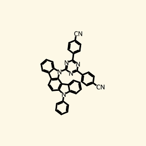 N#Cc1ccc(-c2nc(-c3ccc(C#N)cc3)nc(-n3c4ccccc4c4ccc5c(c6ccccc6n5-c5ccccc5)c43)n2)cc1